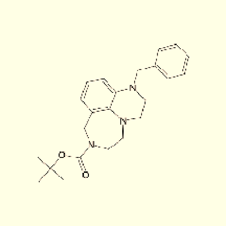 CC(C)(C)OC(=O)N1CCN2CCN(Cc3ccccc3)c3cccc(c32)C1